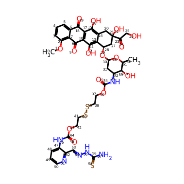 COc1cccc2c1C(=O)c1c(O)c3c(c(O)c1C2=O)CC(O)(C(=O)CO)C[C@H]3OC1CC(NC(=O)OCCSSCCOC(=O)Nc2cccnc2/C=N/NC(N)=S)C(O)C(C)O1